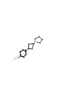 Brc1ccc(C2CC(N3CCCC3)C2)cc1